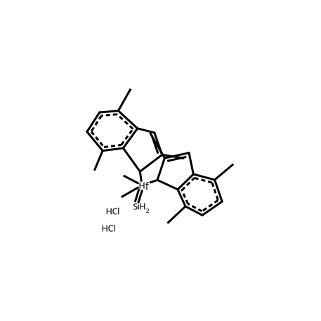 CC1=Cc2c(C)ccc(C)c2[CH]1[Hf]([CH3])([CH3])(=[SiH2])[CH]1C(C)=Cc2c(C)ccc(C)c21.Cl.Cl